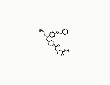 CC(C)CCN(CC1CCN(C(=O)CC(C)CC(N)=O)CC1)c1ccc(OCc2ccccc2)cc1